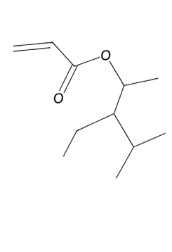 C=CC(=O)OC(C)C(CC)C(C)C